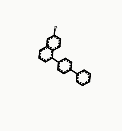 Oc1ccc2c(-c3ccc(-c4ccccc4)cc3)cccc2c1